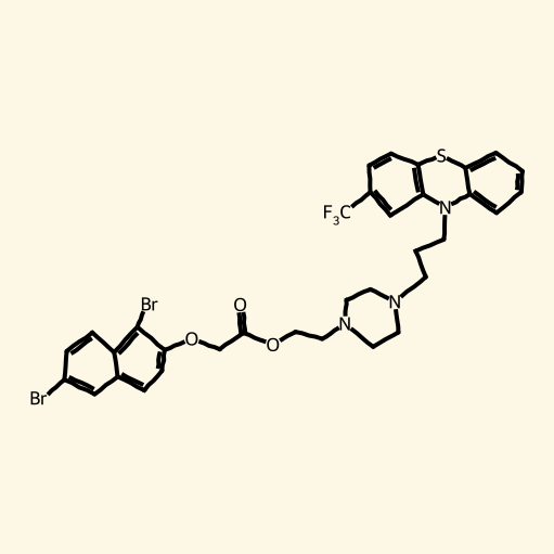 O=C(COc1ccc2cc(Br)ccc2c1Br)OCCN1CCN(CCCN2c3ccccc3Sc3ccc(C(F)(F)F)cc32)CC1